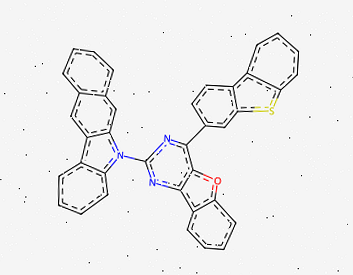 c1ccc2cc3c(cc2c1)c1ccccc1n3-c1nc(-c2ccc3c(c2)sc2ccccc23)c2oc3ccccc3c2n1